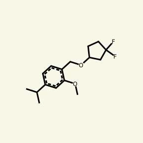 COc1cc(C(C)C)ccc1COC1CCC(F)(F)C1